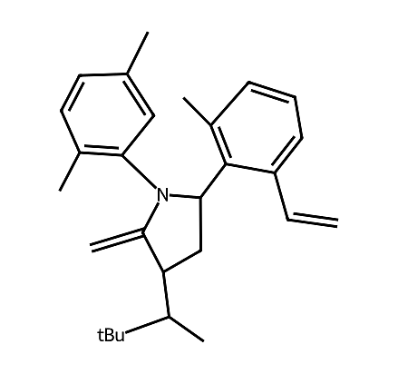 C=Cc1cccc(C)c1C1CC(C(C)C(C)(C)C)C(=C)N1c1cc(C)ccc1C